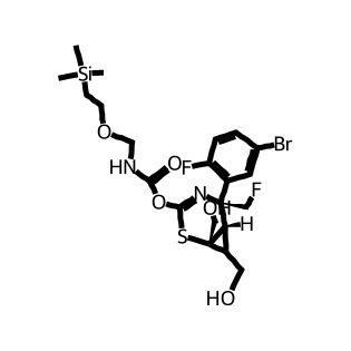 C[Si](C)(C)CCOCNC(=O)OC1=N[C@](CF)(c2cc(Br)ccc2F)[C@@H]2C(CO)[C@]2(CO)S1